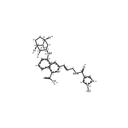 C=C(c1nc(/C=C/CNC(=O)c2cnn(CC)c2)cc2c(N[C@@H]3C[C@H]4CC[C@@H]([C@@H]3F)N4C)cccc12)C(F)(F)F